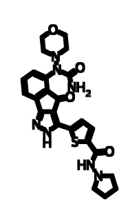 NC(=O)N(c1cccc2c1C(=O)c1c-2n[nH]c1-c1ccc(C(=O)NN2CCCC2)s1)N1CCOCC1